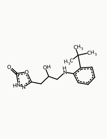 CC(C)(C)c1ccccc1NCC(O)Cc1n[nH]c(=O)o1